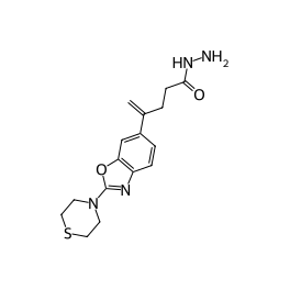 C=C(CCC(=O)NN)c1ccc2nc(N3CCSCC3)oc2c1